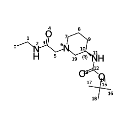 CCNC(=O)CN1CCC[C@@H](NC(=O)OC(C)(C)C)C1